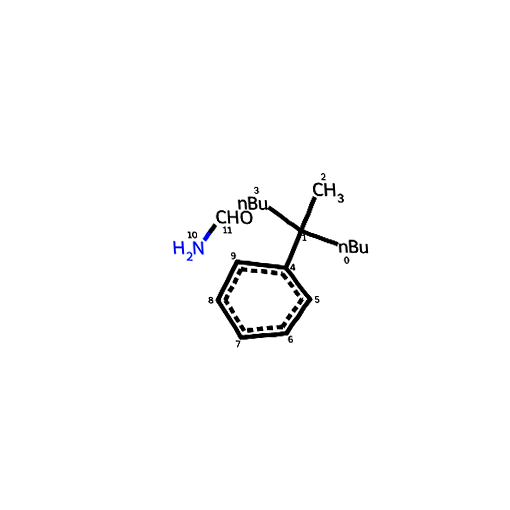 CCCCC(C)(CCCC)c1ccccc1.NC=O